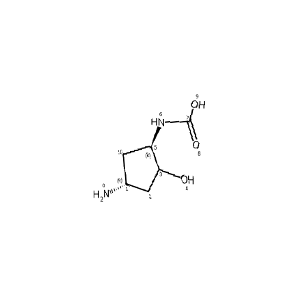 N[C@H]1CC(O)[C@H](NC(=O)O)C1